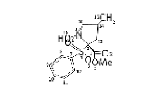 COC(=O)[C@]1(S(=O)(=O)c2ccccc2)C[C@@H](C)CN1O